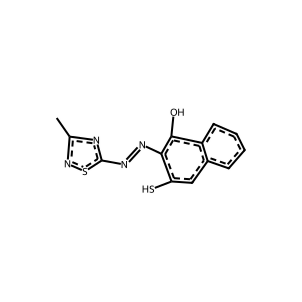 Cc1nsc(/N=N/c2c(S)cc3ccccc3c2O)n1